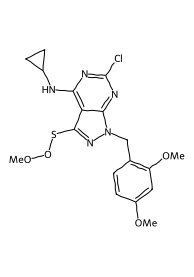 COOSc1nn(Cc2ccc(OC)cc2OC)c2nc(Cl)nc(NC3CC3)c12